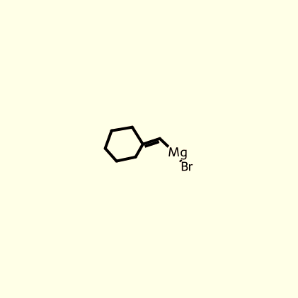 [Br][Mg][CH]=C1CCCCC1